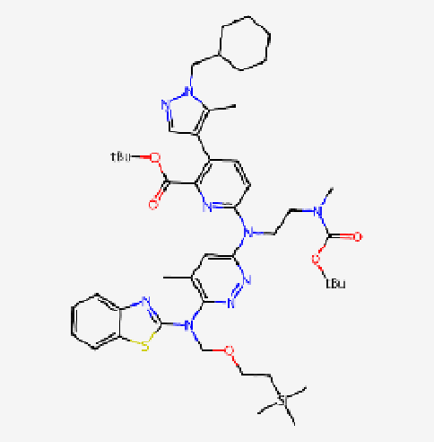 Cc1cc(N(CCN(C)C(=O)OC(C)(C)C)c2ccc(-c3cnn(CC4CCCCC4)c3C)c(C(=O)OC(C)(C)C)n2)nnc1N(COCC[Si](C)(C)C)c1nc2ccccc2s1